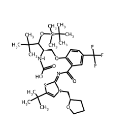 CC(C)(C)c1cn(C[C@H]2CCCO2)c(=NC(=O)c2cc(C(F)(F)F)ccc2OC[C@@H](NC(=O)O)C(O[Si](C)(C)C(C)(C)C)C(C)(C)C)s1